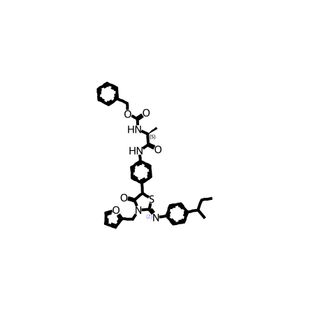 CCC(C)c1ccc(/N=C2\SC(c3ccc(NC(=O)[C@H](C)NC(=O)OCc4ccccc4)cc3)C(=O)N2Cc2ccco2)cc1